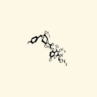 CCNC(=O)N(C)C(C)c1cc(Cl)ccc1OCC(=O)N1C[C@H](C)N(Cc2ccc(F)cc2)C[C@H]1C